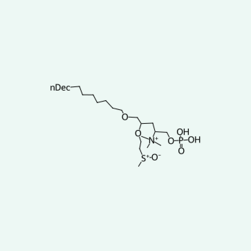 CCCCCCCCCCCCCCCCCOCC(CC(COP(=O)(O)O)[N+](C)(C)C)OCC[S+](C)[O-]